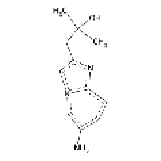 CC(C)(O)Cc1cn2cc(N)ccc2n1